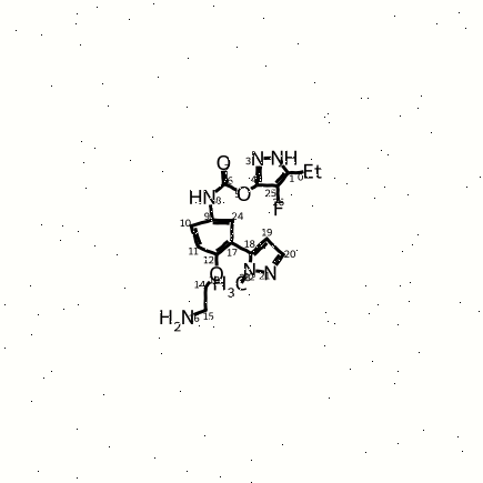 CCc1[nH]nc(OC(=O)Nc2ccc(OCCN)c(-c3ccnn3C)c2)c1F